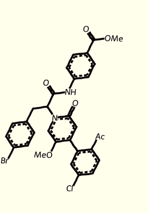 COC(=O)c1ccc(NC(=O)C(Cc2ccc(Br)cc2)n2cc(OC)c(-c3cc(Cl)ccc3C(C)=O)cc2=O)cc1